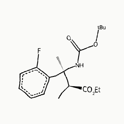 CCOC(=O)[C@@H](C)[C@](C)(NC(=O)OC(C)(C)C)c1ccccc1F